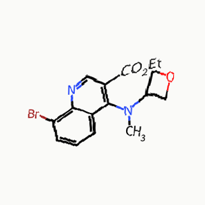 CCOC(=O)c1cnc2c(Br)cccc2c1N(C)C1COC1